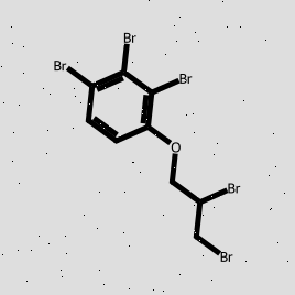 BrCC(Br)COc1ccc(Br)c(Br)c1Br